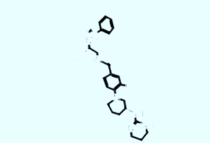 O=C(NC[C@H](NS(=O)(=O)c1ccccc1)C(=O)O)c1ccc(N2CCC[C@H](NC3=NCCCN3)C2)c(Cl)c1